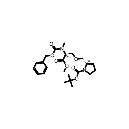 COC(=O)[C@H](COC[C@@H]1CCCN1C(=O)OC(C)(C)C)N(C)C(=O)OCc1ccccc1